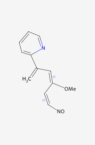 C=C(/C=C(\C=C/N=O)OC)c1ccccn1